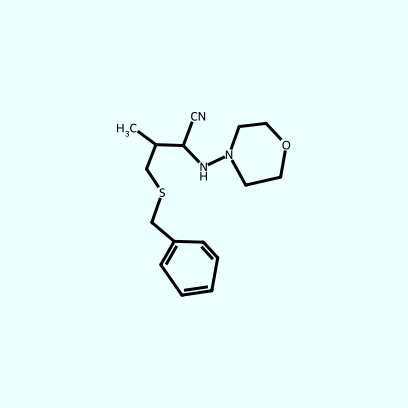 CC(CSCc1ccccc1)C(C#N)NN1CCOCC1